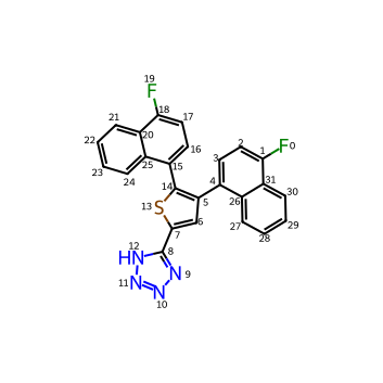 Fc1ccc(-c2cc(-c3nnn[nH]3)sc2-c2ccc(F)c3ccccc23)c2ccccc12